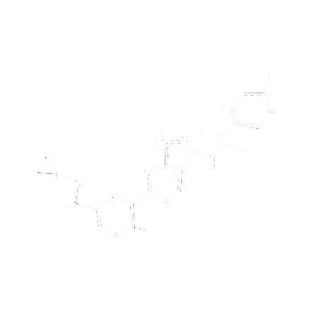 Cc1ccc(C(=O)NC2CC2)cc1-c1ccc2c(NS(=O)(=O)c3ccc(F)cc3)n[nH]c2n1